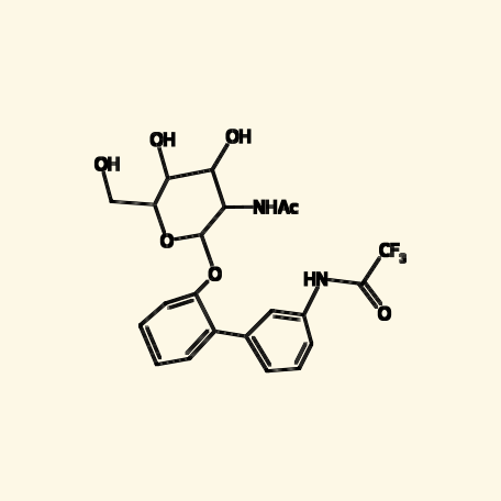 CC(=O)NC1C(Oc2ccccc2-c2cccc(NC(=O)C(F)(F)F)c2)OC(CO)C(O)C1O